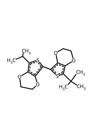 CC(C)c1sc(-c2sc(C(C)(C)C)c3c2OCCO3)c2c1OCCO2